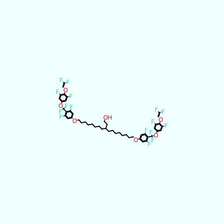 OCCC(CCCCCCCCOc1cc(F)c(C(F)(F)Oc2cc(F)c(OC=C(F)F)c(F)c2)c(F)c1)CCCCCCCCOc1cc(F)c(C(F)(F)Oc2cc(F)c(OC=C(F)F)c(F)c2)c(F)c1